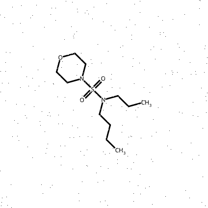 CCCCN(CCC)S(=O)(=O)N1CCOCC1